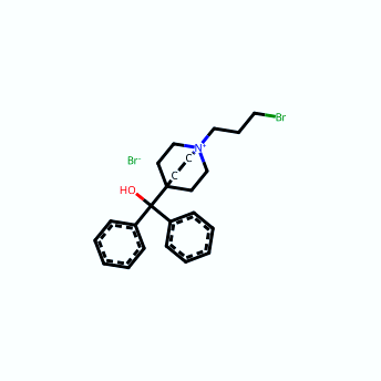 OC(c1ccccc1)(c1ccccc1)C12CC[N+](CCCBr)(CC1)CC2.[Br-]